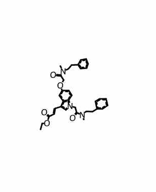 CCOC(=O)C=Cc1cn(CC(=O)N(C)CCc2ccccc2)c2ccc(OCC(=O)N(C)CCc3ccccc3)cc12